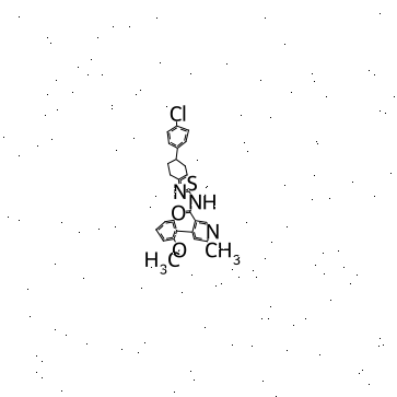 COc1ccccc1-c1cc(C)ncc1C(=O)Nc1nc2c(s1)CC(c1ccc(Cl)cc1)CC2